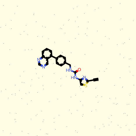 C#Cc1nc(NC(=O)NCc2ccc(-c3cccc4ncncc34)cc2)cs1